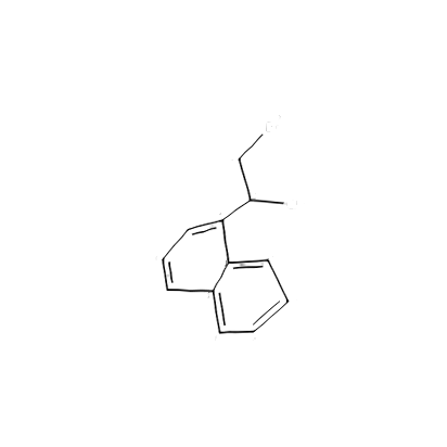 ClC(CBr)c1cccc2ccccc12